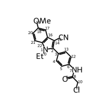 CCn1c(-c2ccc(NC(=O)CCl)cc2)c(C#N)c2cc(OC)ccc21